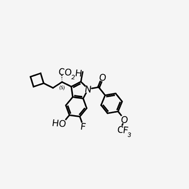 Cc1c([C@H](CC2CCC2)C(=O)O)c2cc(O)c(F)cc2n1C(=O)c1ccc(OC(F)(F)F)cc1